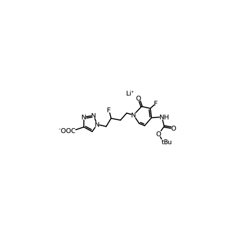 CC(C)(C)OC(=O)Nc1ccn(CCC(F)Cn2cc(C(=O)[O-])nn2)c(=O)c1F.[Li+]